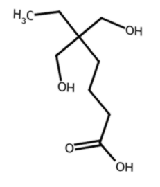 CCC(CO)(CO)CCCC(=O)O